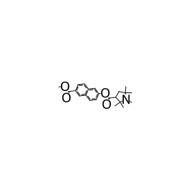 COC(=O)c1ccc2cc(OC(=O)C3CC(C)(C)N(C)C3(C)C)ccc2c1